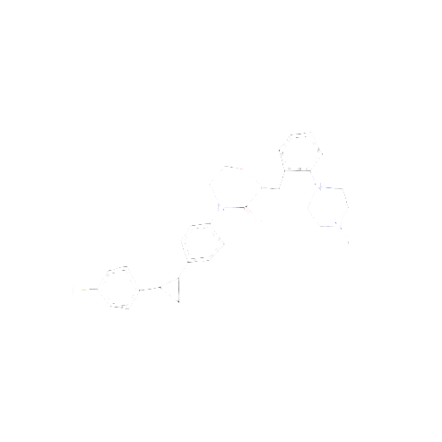 CN1CCN(c2ccccc2CC2OCCN(c3ccc(C4CC4c4ccc(F)cc4)cc3)C2=O)CC1